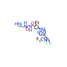 CCc1cc(Nc2nccn3c(-c4cn(CC(F)F)nc4C(F)(F)F)cnc23)ccc1C(=O)NCC(=O)NCC1CCNC1